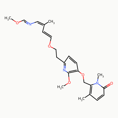 CO/C=N/C=C(C)\C=C\OCCc1ccc(OCc2c(C)ccc(=O)n2C)c(OC)n1